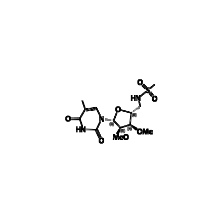 CO[C@@H]1[C@H](OC)[C@@H](CNS(C)(=O)=O)O[C@H]1n1cc(C)c(=O)[nH]c1=O